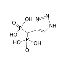 O=P(O)(O)C(c1c[nH]nn1)P(=O)(O)O